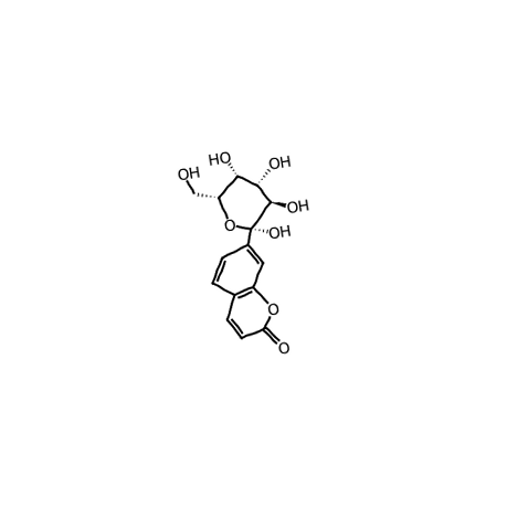 O=c1ccc2ccc([C@@]3(O)O[C@H](CO)[C@H](O)[C@H](O)[C@H]3O)cc2o1